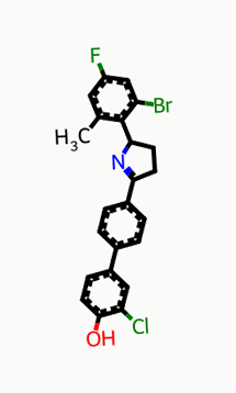 Cc1cc(F)cc(Br)c1C1CCC(c2ccc(-c3ccc(O)c(Cl)c3)cc2)=N1